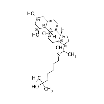 CC(SCCCCCC(C)(C)O)[C@H]1CC[C@H]2C3=CC=C4C[C@@H](O)C[C@H](O)[C@]4(C)[C@H]3CC[C@]12C